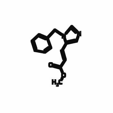 COC(=O)C=Cc1cncn1Cc1ccccc1